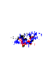 CC(=O)O.NC(N)=NCCCC(NC(=O)[C@H](N)CCCN=C(N)N)C(=O)N1CCCC1C(=O)N1C[C@H](O)CC1C(=O)NCC(=O)N[C@@H](Cc1cccs1)C(=O)N[C@@H](CO)C(=O)N1Cc2ccccc2CC1C(=O)N1C(C(=O)N[C@@H](CCCN=C(N)N)C(=O)O)C[C@@H]2CCCC[C@@H]21